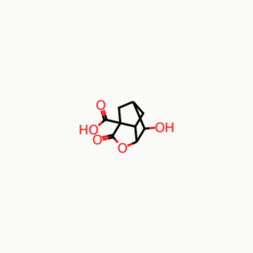 O=C(O)C12CC3CC1C(OC2=O)C3O